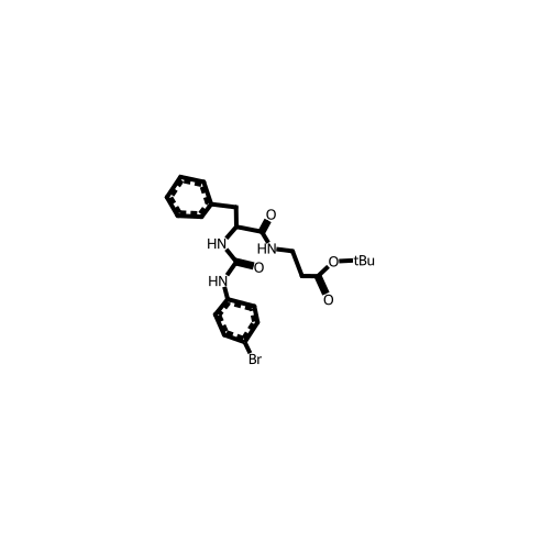 CC(C)(C)OC(=O)CCNC(=O)C(Cc1ccccc1)NC(=O)Nc1ccc(Br)cc1